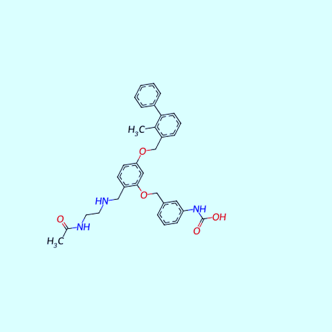 CC(=O)NCCNCc1ccc(OCc2cccc(-c3ccccc3)c2C)cc1OCc1cccc(NC(=O)O)c1